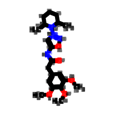 COc1cc(CC(=O)[N-]c2c[n+](N3C(C)CCCC3C)no2)cc(OC)c1OC